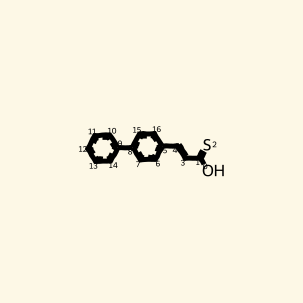 OC(=S)C=Cc1ccc(-c2ccccc2)cc1